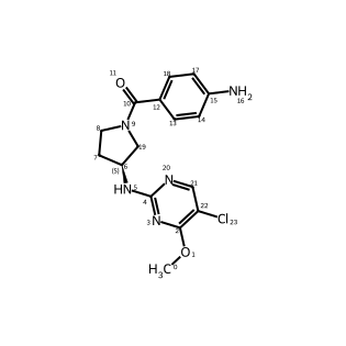 COc1nc(N[C@H]2CCN(C(=O)c3ccc(N)cc3)C2)ncc1Cl